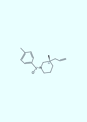 C=CC[C@]1(C)CCCN([S+]([O-])c2ccc(C)cc2)C1